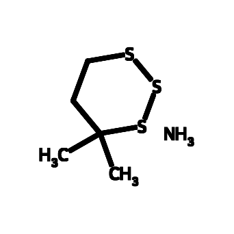 CC1(C)CCSSS1.N